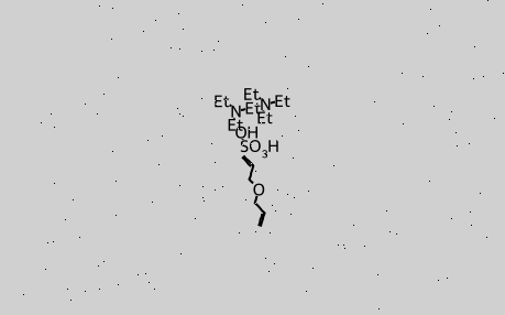 C=CCOCC=C.CCN(CC)CC.CCN(CC)CC.O=S(=O)(O)O